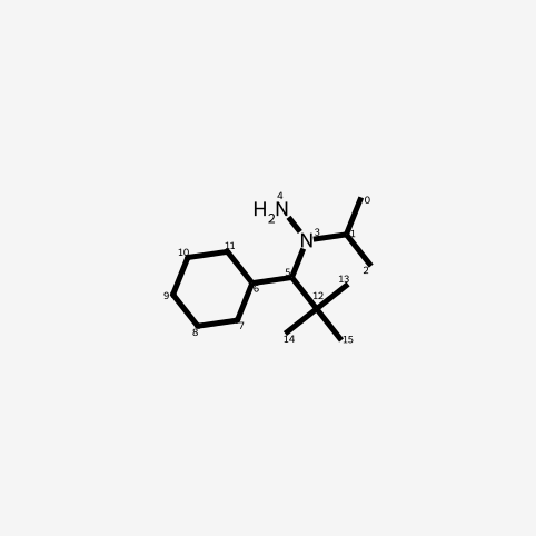 CC(C)N(N)C(C1CCCCC1)C(C)(C)C